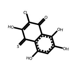 O=C1C(Cl)=C(O)C(=S)c2c(O)cc(O)c(O)c21